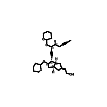 CC#CC[C@H](C)[C@@H](C#C[C@@H]1[C@H]2CC(=CCO)C[C@H]2C[C@H]1OC1CCCCO1)OC1CCCCO1